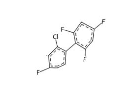 Fc1[c]c(Cl)c(-c2c(F)cc(F)cc2F)cc1